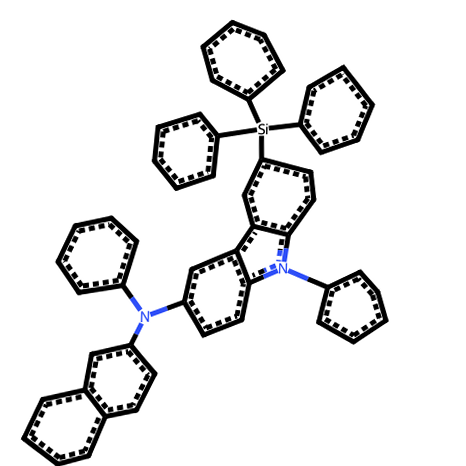 c1ccc(N(c2ccc3ccccc3c2)c2ccc3c(c2)c2cc([Si](c4ccccc4)(c4ccccc4)c4ccccc4)ccc2n3-c2ccccc2)cc1